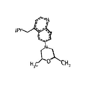 CC(C)Cc1ccnc2ccc(N3CC(C)OC(C)C3)cc12